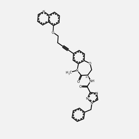 CN1C(=O)[C@H](NC(=O)c2ncn(Cc3ccccc3)n2)COc2ccc(C#CCCOc3cccc4ncccc34)cc21